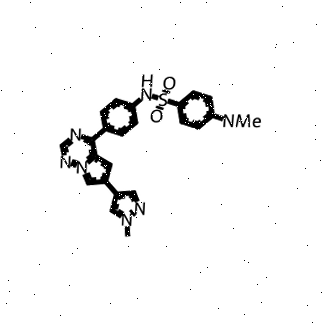 CNc1ccc(S(=O)(=O)Nc2ccc(-c3ncnn4cc(-c5cnn(C)c5)cc34)cc2)cc1